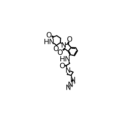 [N-]=[N+]=NC1CN(C(=O)CNc2cccc3c2C(=O)N(C2CCC(=O)NC2=O)C3=O)C1